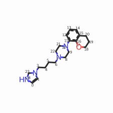 C1=CN(CCCCN2CCN(c3cccc4c3OCCC4)CC2)CN1